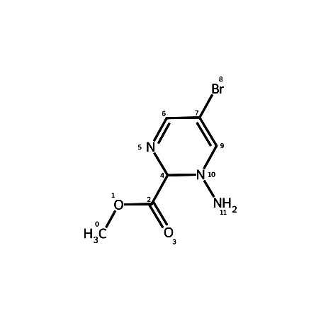 COC(=O)C1N=CC(Br)=CN1N